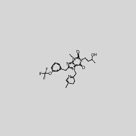 CC1=CN=C(Cn2c(Cc3cccc(OC(F)(F)F)c3)nc3c2c(=O)n(CCC(C)O)c(=O)n3C)CC1